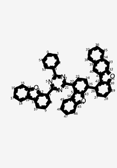 c1ccc(-c2nc(-c3cccc4c3oc3ccccc34)nc(-c3ccc(-c4cccc5oc6cc7ccccc7cc6c45)c4oc5ccccc5c34)n2)cc1